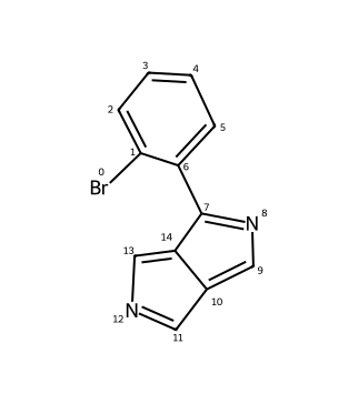 Brc1ccccc1C1=NC=C2C=NC=C21